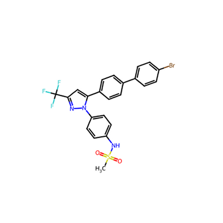 CS(=O)(=O)Nc1ccc(-n2nc(C(F)(F)F)cc2-c2ccc(-c3ccc(Br)cc3)cc2)cc1